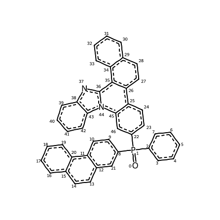 O=P(c1ccccc1)(c1ccc2c(ccc3ccccc32)c1)c1ccc2c3ccc4ccccc4c3c3nc4ccccc4n3c2c1